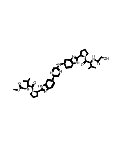 COC(=O)NC(C(=O)N1CCCC1c1nc2ccc(-c3cnc(Nc4ccc5[nH]c(C6CCCN6C(=O)C(NC(=O)CO)C(C)C)nc5c4)cn3)cc2[nH]1)C(C)C